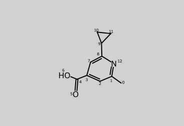 Cc1cc(C(=O)O)cc(C2CC2)n1